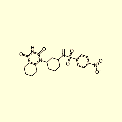 O=c1[nH]c(=O)n(C2CCCC(NS(=O)(=O)c3ccc([N+](=O)[O-])cc3)C2)c2c1CCCC2